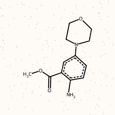 COC(=O)c1cc(N2CCOCC2)ccc1N